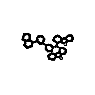 c1cc(-c2cccc(N(c3cccc4c3oc3ccccc34)c3cccc4oc5ccccc5c34)c2)cc(-c2cccc3ccccc23)c1